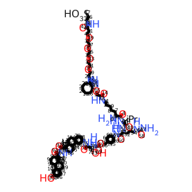 CC(C)[C@H](NC(=O)[C@H](N)CCCCCNC(=O)COC1CCCCCc2c1nnn2CCOCCOCCOCCOCCC(=O)NCCS(=O)(=O)O)C(=O)N[C@@H](CCCNC(N)=O)C(=O)Nc1ccc(COC(=O)N[C@@H](CO)C(=O)Nc2ccc3c(c2)[C@@]2(C)CCC[C@](C)(C(=O)NC(=O)[C@@]4(C)CCC[C@]5(C)c6cc(O)ccc6CC[C@@H]45)[C@@H]2CC3)cc1